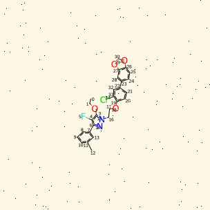 CCOc1c(F)c(-c2cccc(C)c2)nn1CCOc1ccc(-c2ccc3c(c2)OCO3)cc1Cl